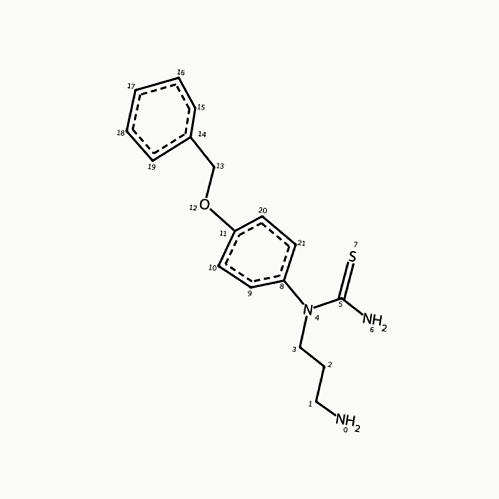 NCCCN(C(N)=S)c1ccc(OCc2ccccc2)cc1